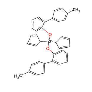 Cc1ccc(-c2ccccc2[O][Zr]([O]c2ccccc2-c2ccc(C)cc2)([CH]2C=CC=C2)[CH]2C=CC=C2)cc1